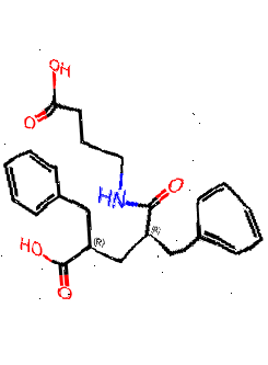 O=C(O)CCCNC(=O)[C@@H](Cc1ccccc1)C[C@H](Cc1ccccc1)C(=O)O